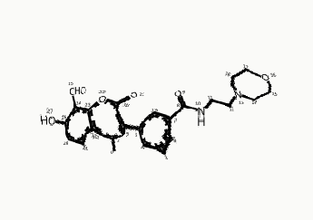 Cc1c(-c2cccc(C(=O)NCCN3CCOCC3)c2)c(=O)oc2c(C=O)c(O)ccc12